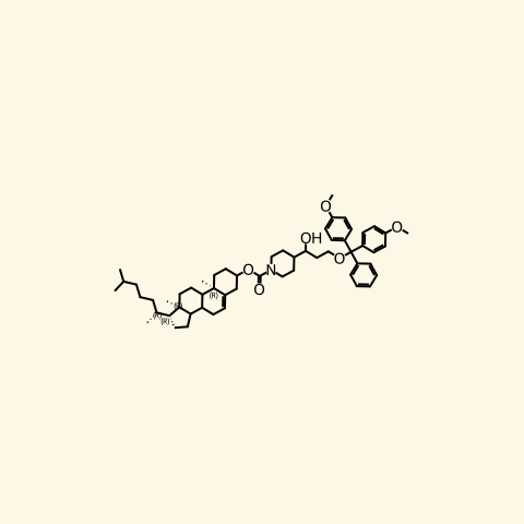 COc1ccc(C(OCCC(O)C2CCN(C(=O)OC3CC[C@@]4(C)C(=CCC5C4CC[C@@]4(C)C5CC[C@@H]4[C@H](C)CCCC(C)C)C3)CC2)(c2ccccc2)c2ccc(OC)cc2)cc1